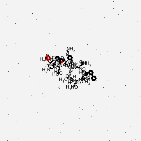 CC(=O)N[C@H]1CCSC[C@@H](C(=O)N[C@@H](Cc2ccc(OCCN)cc2)C(=O)N[C@@H](Cc2ccc3ccccc3c2)C(=O)NC2(C(=O)N[C@@H](CCC(=O)O)C(=O)N[C@@H](CC(N)=O)C(=O)N[C@@H](Cc3cccnc3)C(=O)N(C)C(C=O)CN)CCOCC2)NC(=O)[C@H](CCC(N)=O)NC(=O)[C@H](Cc2c[nH]c3c(-c4ccccc4)cccc23)NC(=O)[C@H]([C@@H](C)O)NC(=O)[C@H](CCC(N)=O)NC1=O